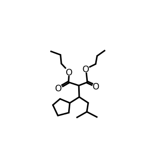 CCCOC(=O)C(C(=O)OCCC)C(CC(C)C)C1CCCC1